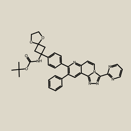 CC(C)(C)OC(=O)NC1(c2ccc(-c3nc4ccn5c(-c6ncccn6)nnc5c4cc3-c3ccccc3)cc2)CC2(C1)OCCO2